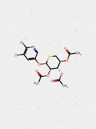 CC(=O)O[C@@H]1[C@@H](OC(C)=O)[C@@H](Oc2cnc(Cl)c(Cl)c2)SC[C@H]1OC(C)=O